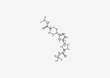 CC(C)OC(=O)N1CCC(c2nnc([C@H]3CCN(C(=O)OC(C)(C)C)C3)o2)CC1